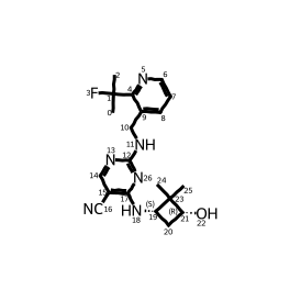 CC(C)(F)c1ncccc1CNc1ncc(C#N)c(N[C@H]2C[C@@H](O)C2(C)C)n1